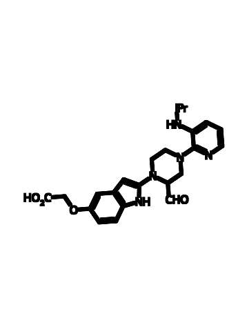 CC(C)Nc1cccnc1N1CCN(c2cc3cc(OCC(=O)O)ccc3[nH]2)C(C=O)C1